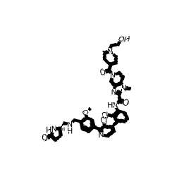 COc1cc(-c2nccc(-c3cccc(NC(=O)c4nc5c(n4C)CCN(C(=O)C4CCN(CCO)CC4)C5)c3Cl)c2Cl)ccc1CNC[C@H]1CCC(=O)N1